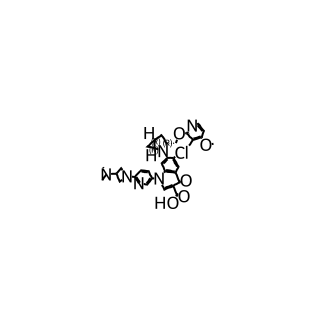 COc1ccnc(OC[C@H]2C[C@H]3C[C@H]3N2c2cc3c(cc2Cl)c(=O)c(C(=O)O)cn3-c2ccc(N3CC(N(C)C)C3)nc2)c1C